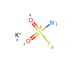 [K+].[N-]S(=O)(=O)F